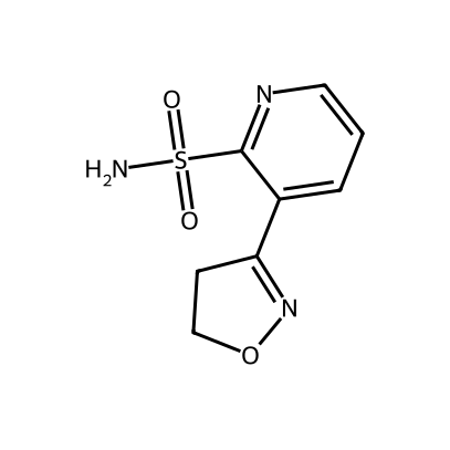 NS(=O)(=O)c1ncccc1C1=NOCC1